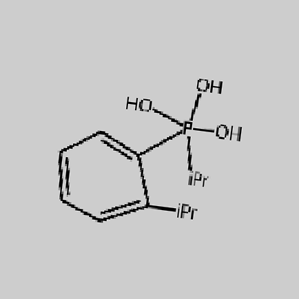 CC(C)c1ccccc1P(O)(O)(O)C(C)C